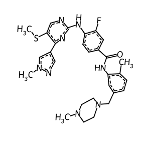 CSc1cnc(Nc2ccc(C(=O)Nc3cc(CN4CCN(C)CC4)ccc3C)cc2F)nc1-c1cnn(C)c1